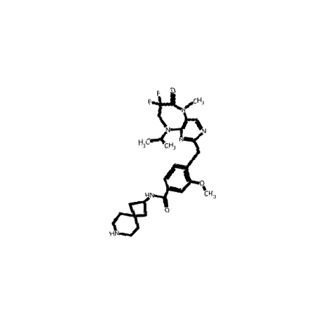 COc1cc(C(=O)NC2CC3(CCNCC3)C2)ccc1Cc1ncc2c(n1)N(C(C)C)CC(F)(F)C(=O)N2C